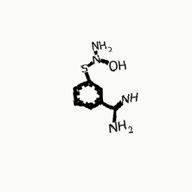 N=C(N)c1cccc(SN(N)O)c1